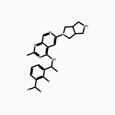 Cc1nc(NC(C)c2cccc(C(F)F)c2F)c2cc(N3CC4CNCC4C3)ncc2n1